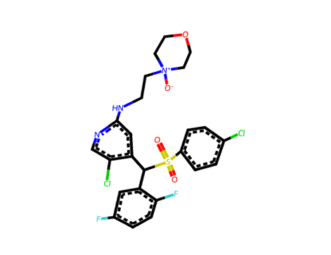 O=S(=O)(c1ccc(Cl)cc1)C(c1cc(F)ccc1F)c1cc(NCC[N+]2([O-])CCOCC2)ncc1Cl